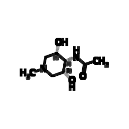 CC(=O)N[C@@H]1[C@H](O)CN(C)C[C@@H]1O